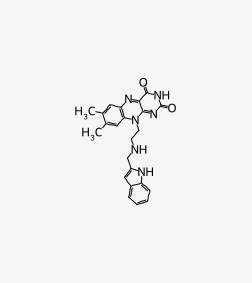 Cc1cc2nc3c(=O)[nH]c(=O)nc-3n(CCNCc3cc4ccccc4[nH]3)c2cc1C